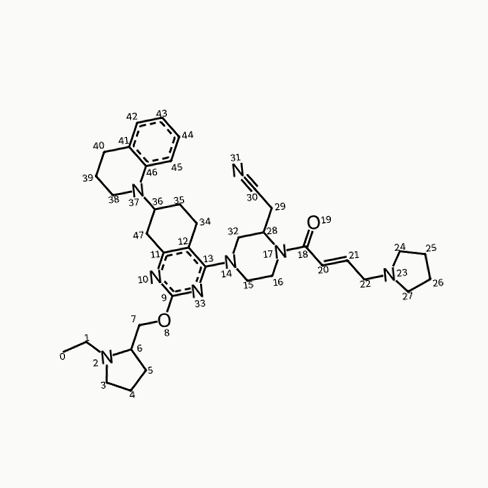 CCN1CCCC1COc1nc2c(c(N3CCN(C(=O)C=CCN4CCCC4)C(CC#N)C3)n1)CCC(N1CCCc3ccccc31)C2